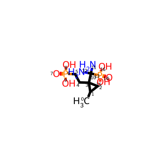 CC1CC1(CCP(=O)(O)O)C(N)(N)P(=O)(O)O